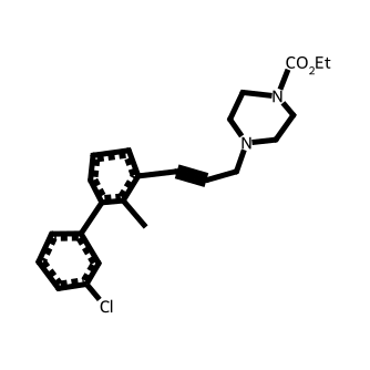 CCOC(=O)N1CCN(CC#Cc2cccc(-c3cccc(Cl)c3)c2C)CC1